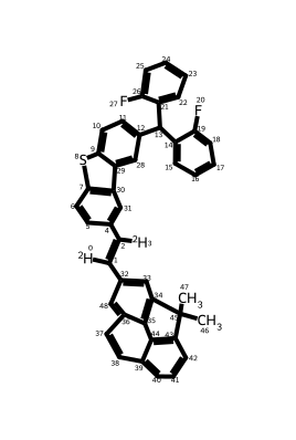 [2H]/C(=C(/[2H])c1ccc2sc3ccc(C(c4ccccc4F)c4ccccc4F)cc3c2c1)c1cc2c3c(ccc4cccc(c43)C2(C)C)c1